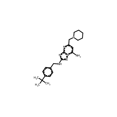 CC(C)(C)c1ccc(CNc2nc3nc(CN4CCCCC4)cc(N)n3n2)cc1